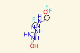 N=C/C(=C\NCCO)Nc1ncc(F)c(NCc2cccc(OC(F)F)c2)n1